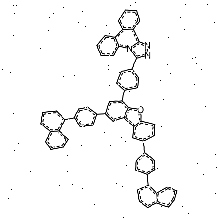 c1ccc2c(-c3ccc(-c4ccc5oc6c(-c7ccc(-c8nnc9c%10ccccc%10c%10ccccc%10n89)cc7)cc(-c7ccc(-c8cccc9ccccc89)cc7)cc6c5c4)cc3)cccc2c1